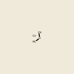 N#COC#N.[Co]